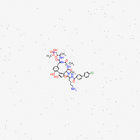 COP(=O)(O)CC(=O)[C@H](C)NC(=O)[C@@H]1Cc2ccc(O)c(c2)-c2cc(ccc2O)[C@H](N(C)C(=O)[C@H](CCCCN)NC(=O)c2ccc(-c3ccc(Cl)cc3)cc2)C(=O)N[C@@H](C)C(=O)N1